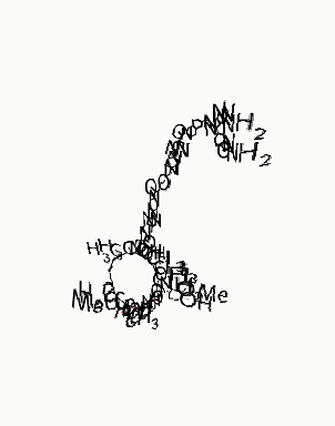 CO[C@H]1C[C@@H]2CC[C@@H](C)[C@@](O)(O2)C(=O)C(=O)N2CCCC[C@H]2C(=O)O[C@H]([C@H](N)C[C@@H]2CC[C@@H](O)[C@H](OC)C2)C[C@@H](O)[C@H](C)/C=C(\C)[C@@H](O)[C@@H](O)C(=NOCC(=O)N2CCc3nc(N4CCN(C(=O)CCOCCN5CCN(c6ncc(C(=O)N7CCc8cc(Cn9nc(-c%10ccc%11oc(N)nc%11c%10)c%10c(N)ncnc%109)ccc8C7)cn6)CC5)CC4)ncc3C2)[C@H](C)C[C@H](C)/C=C/C=C/C=C/1C